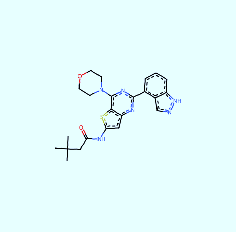 CC(C)(C)CC(=O)Nc1cc2nc(-c3cccc4[nH]ncc34)nc(N3CCOCC3)c2s1